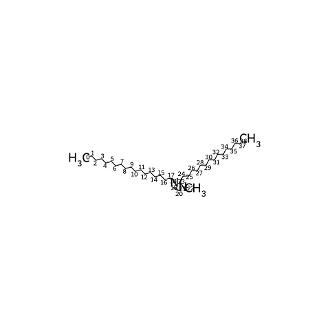 CCCCCCCCCCCCCCCCCC[n+]1ccn(C)c1CCCCCCCCCCCCCCC